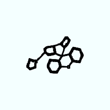 c1ccc2c(c1)Oc1ccccc1C21c2ccccc2-c2ccc(-n3cccc3)cc21